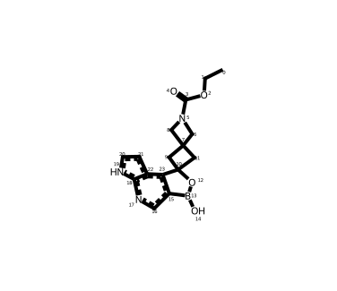 CCOC(=O)N1CC2(C1)CC1(C2)OB(O)c2cnc3[nH]ccc3c21